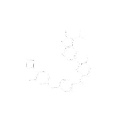 Cc1nc2ncc(-c3nc(Nc4ccc(CN5CCN(C6COC6)C(C)C5)cn4)ncc3F)cc2n1C(C)C